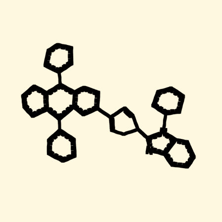 C1=CC(c2nc3ccccc3n2-c2ccccc2)CC=C1c1ccc2c(-c3ccccc3)c3ccccc3c(-c3ccccc3)c2c1